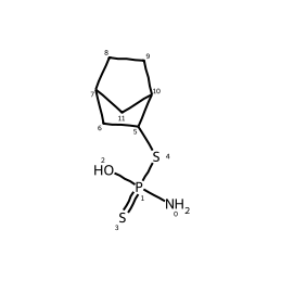 NP(O)(=S)SC1CC2CCC1C2